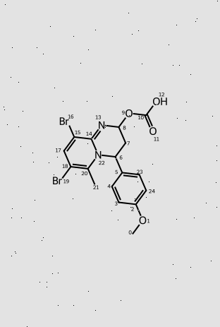 COc1ccc(C2CC(OC(=O)O)N=C3C(Br)=CC(Br)=C(C)N32)cc1